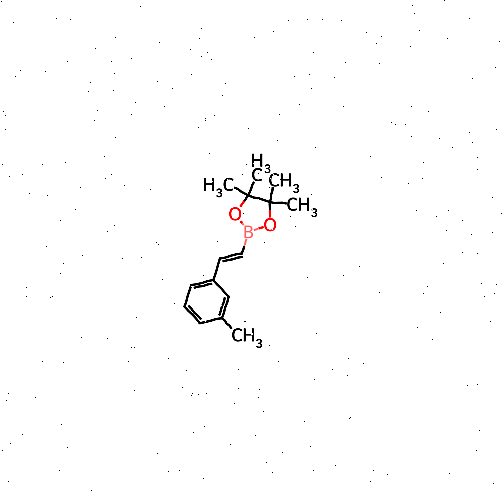 Cc1cccc(C=CB2OC(C)(C)C(C)(C)O2)c1